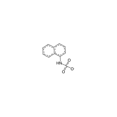 [O]S(=O)(=O)Nc1cccc2ccccc12